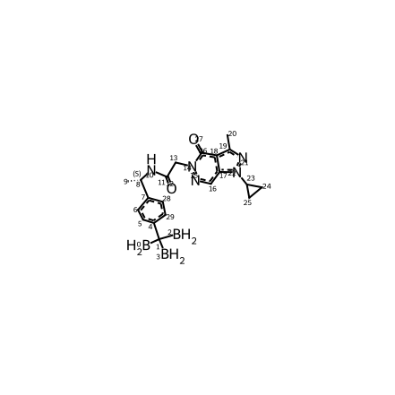 BC(B)(B)c1ccc([C@H](C)NC(=O)Cn2ncc3c(c(C)nn3C3CC3)c2=O)cc1